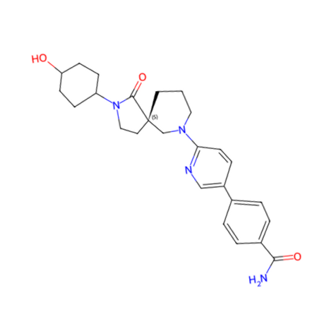 NC(=O)c1ccc(-c2ccc(N3CCC[C@]4(CCN(C5CCC(O)CC5)C4=O)C3)nc2)cc1